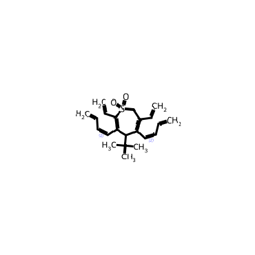 C=C/C=C\C1=C(C=C)CS(=O)(=O)C(C=C)=C(/C=C\C=C)C1C(C)(C)C